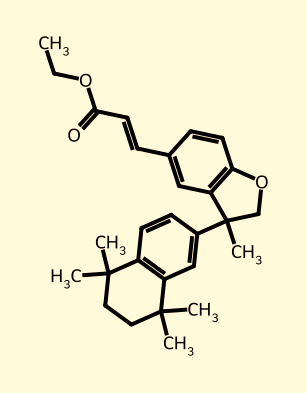 CCOC(=O)C=Cc1ccc2c(c1)C(C)(c1ccc3c(c1)C(C)(C)CCC3(C)C)CO2